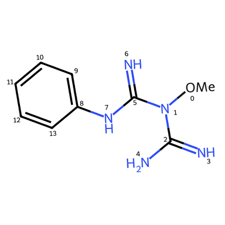 CON(C(=N)N)C(=N)Nc1ccccc1